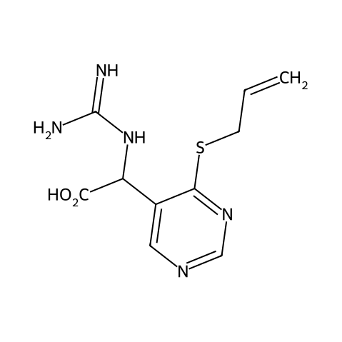 C=CCSc1ncncc1C(NC(=N)N)C(=O)O